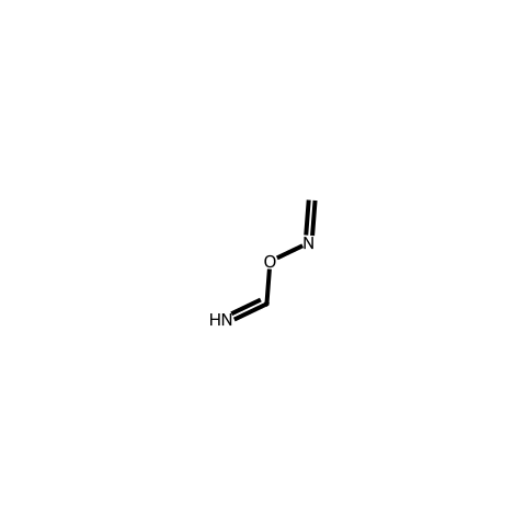 C=NOC=N